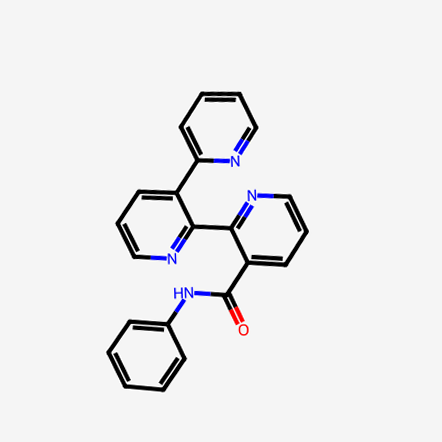 O=C(Nc1ccccc1)c1cccnc1-c1ncccc1-c1ccccn1